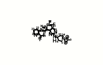 CS(=O)(=O)N1CCC(Nc2ncc(C(F)(F)F)c(-c3cn(-c4cccnc4C(F)F)cn3)n2)CC1